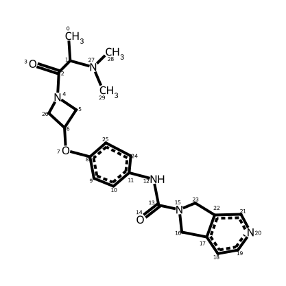 CC(C(=O)N1CC(Oc2ccc(NC(=O)N3Cc4ccncc4C3)cc2)C1)N(C)C